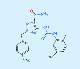 CC(=O)Oc1ccc(Cc2nc(C(N)=O)c(NC(=O)Nc3cc(C(C)C)ccc3C)[nH]2)cc1